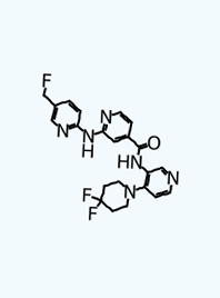 O=C(Nc1cnccc1N1CCC(F)(F)CC1)c1ccnc(Nc2ccc(CF)cn2)c1